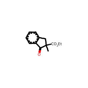 CCOC(=O)C1(C)Cc2ccccc2C1=O